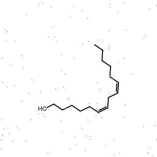 CCCCC/C=C\C/C=C\CCCCCO